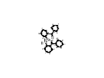 O=C(c1ccccc1)c1ccccc1NNc1ccccc1C(=O)c1ccccc1